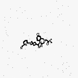 CN(C)C(=O)CN1Cc2cc(Cl)ccc2-n2c(nnc2C2CC3(C2)CN(c2cccc(C#N)n2)C3)C1